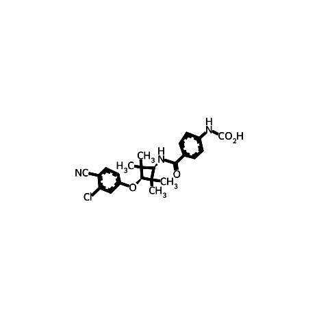 CC1(C)[C@H](NC(=O)c2ccc(NC(=O)O)cc2)C(C)(C)[C@H]1Oc1ccc(C#N)c(Cl)c1